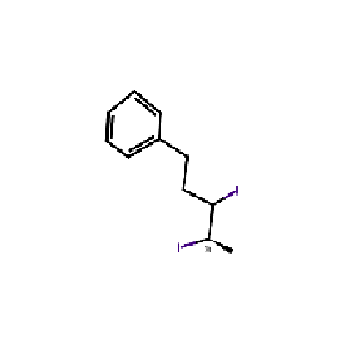 C[C@@H](I)C(I)CCc1ccccc1